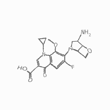 COc1c(N2CC(N)C3OCC32)c(F)cc2c(=O)c(C(=O)O)cn(C3CC3)c12